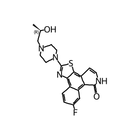 C[C@@H](O)CN1CCN(c2nc3c4ccc(F)cc4c4c(=O)[nH]ccc4c3s2)CC1